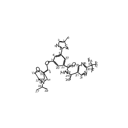 Cc1cnc(-c2cc(OCC34CC(CO3)N(C(C)C)C4)cc(C(=O)NC(C)c3cnc(C(F)(F)F)nc3)c2)s1